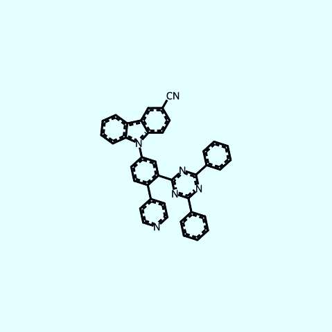 N#Cc1ccc2c(c1)c1ccccc1n2-c1ccc(-c2ccncc2)c(-c2nc(-c3ccccc3)nc(-c3ccccc3)n2)c1